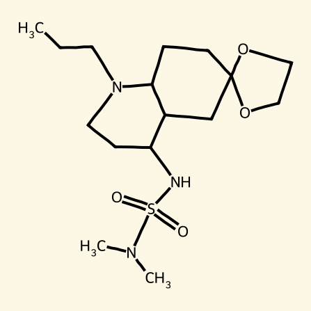 CCCN1CCC(NS(=O)(=O)N(C)C)C2CC3(CCC21)OCCO3